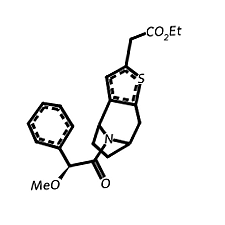 CCOC(=O)Cc1cc2c(s1)CC1CCC2N1C(=O)[C@@H](OC)c1ccccc1